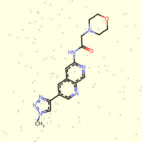 Cn1cc(-c2cnc3cnc(NC(=O)CN4CCOCC4)cc3c2)nn1